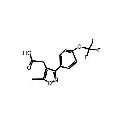 Cc1onc(-c2ccc(OC(F)(F)F)cc2)c1CC(=O)O